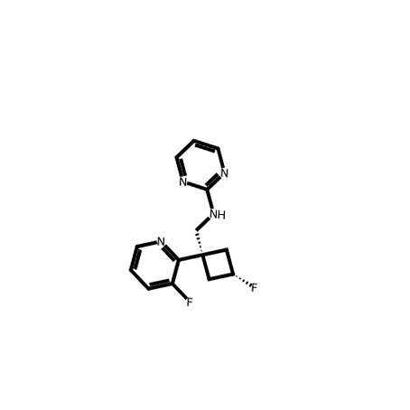 Fc1cccnc1[C@]1(CNc2ncccn2)C[C@@H](F)C1